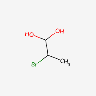 CC(Br)C(O)O